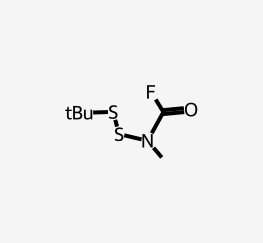 CN(SSC(C)(C)C)C(=O)F